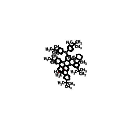 CC(C)(C)c1ccc(N(c2ccc(C(C)(C)C)cc2)c2cc3c4c(c2)N2c5c(cc(C(C)(C)C)cc5C5(C)CCCCC25C)B4c2cc4c(cc2N3c2ccc(C(C)(C)C)cc2-c2ccccc2)C(C)(C)c2cc(C(C)(C)C)ccc2-4)cc1